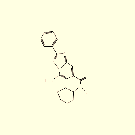 CN(C(=O)c1cc(N)n2nc(-c3ccccc3)nc2c1)C1CCCCC1